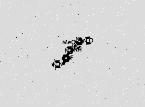 COc1ncc(N2CCOCC2)cc1S(=O)(=O)Nc1ccnc(-c2ccc(CN3C[C@@H](C)N(C)[C@@H](C)C3)cc2F)c1